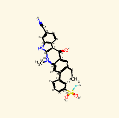 CCc1cc2c(=O)c3c4ccc(C#N)cc4[nH]c3n(C)c2cc1-c1cccc(S(=O)(=O)F)c1